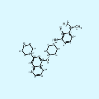 CN(C)c1ncnc(N[C@H]2CC[C@@H](Oc3cc(N4CCOCC4)cc4nccnc34)CC2)c1F